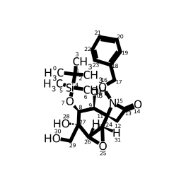 CC(C)(C)[Si](C)(C)O[C@H]1[C@@H](O)[C@@]2(CC(=O)N2OCc2ccccc2)[C@@H]2O[C@@H]2[C@@]1(O)CO